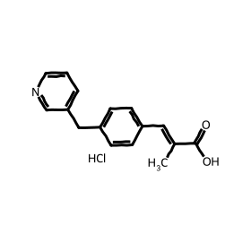 C/C(=C\c1ccc(Cc2cccnc2)cc1)C(=O)O.Cl